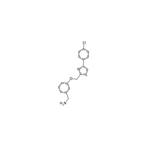 NCc1cccc(OCc2nc(-c3ccc(Cl)cc3)cs2)c1